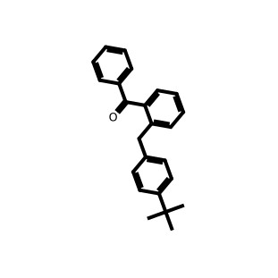 CC(C)(C)c1ccc(Cc2ccccc2C(=O)c2ccccc2)cc1